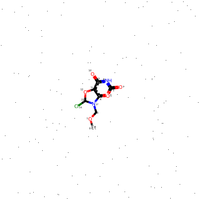 CCOCN1c2oc(=O)[nH]c(=O)c2OC1Cl